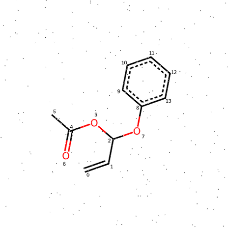 C=CC(OC(C)=O)Oc1ccccc1